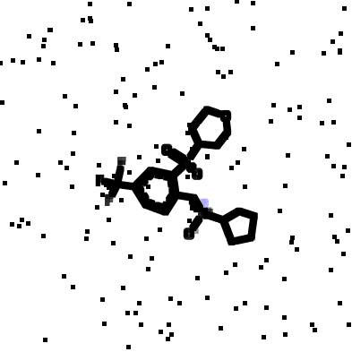 O=S(=O)(c1cc(C(F)(F)F)ccc1/C=[N+](\[O-])C1CCCC1)C1CCOCC1